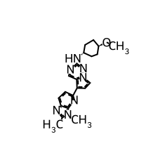 CO[C@H]1CC[C@H](Nc2ncc3c(-c4ccc5nc(C)n(C)c5n4)ccn3n2)CC1